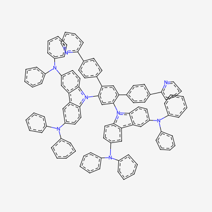 c1ccc(N(c2ccccc2)c2ccc3c(c2)c2cc(N(c4ccccc4)c4ccccc4)ccc2n3-c2cc(-n3c4ccc(N(c5ccccc5)c5ccccc5)cc4c4cc(N(c5ccccc5)c5ccccc5)ccc43)c(-c3ccc(-c4ccccn4)cc3)cc2-c2ccc(-c3ccccn3)cc2)cc1